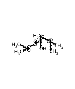 C=C(CCN(CCCCO)CCC(=O)OCCCCOC(=O)C(CCCC)CCCCCC)OCCCCOC(=O)C(CCCC)CCCCCC